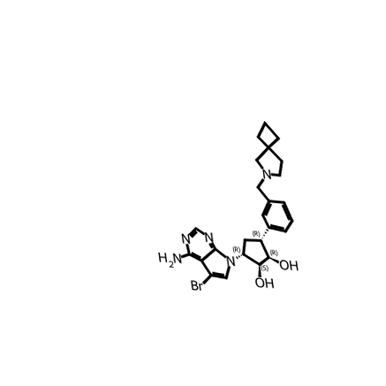 Nc1ncnc2c1c(Br)cn2[C@@H]1C[C@H](c2cccc(CN3CCC4(CCC4)C3)c2)[C@@H](O)[C@H]1O